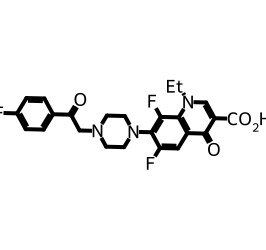 CCn1cc(C(=O)O)c(=O)c2cc(F)c(N3CCN(CC(=O)c4ccc(F)cc4)CC3)c(F)c21